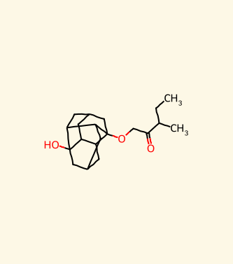 CCC(C)C(=O)COC12CC3CC4C1CC1CC2C(C3)C4(O)C1